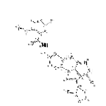 COc1ccc(F)cc1C(=O)NCc1ccc(-n2nc([C@H]3CCC[C@H]3F)c3c(=O)[nH]nc(N)c32)cc1